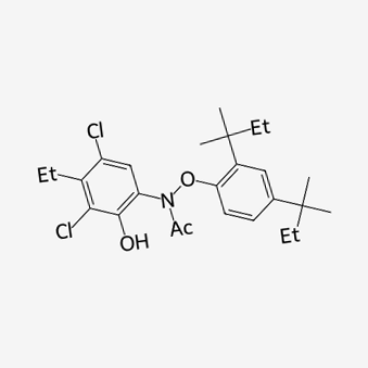 CCc1c(Cl)cc(N(Oc2ccc(C(C)(C)CC)cc2C(C)(C)CC)C(C)=O)c(O)c1Cl